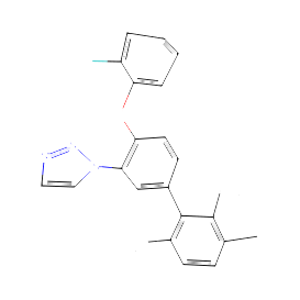 Cc1ccc(C(=O)O)c(-c2ccc(Oc3ccccc3F)c(-n3ccnn3)c2)c1C(=O)O